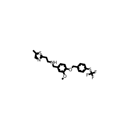 COc1cc(CNCCc2ncc(C)s2)ccc1OCc1ccc(SC(F)(F)F)cc1